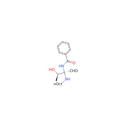 CCCCCCCCN[C@](C=O)(NC(=O)c1ccccc1)[C@@H](C)O